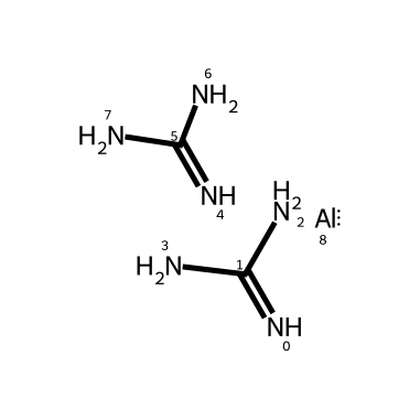 N=C(N)N.N=C(N)N.[Al]